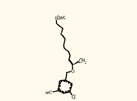 [CH2][C@H](CCCCCCCCCCCCCCCCC)OCc1cc(Cl)cc(C#N)c1